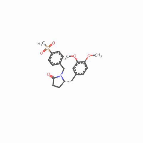 COc1ccc(C[C@@H]2CCC(=O)N2Cc2ccc(S(C)(=O)=O)cc2)cc1OC